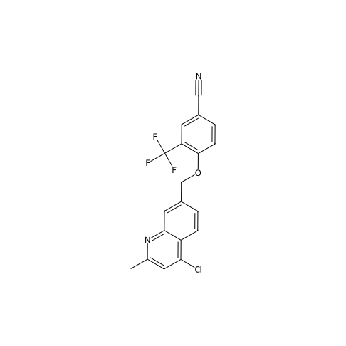 Cc1cc(Cl)c2ccc(COc3ccc(C#N)cc3C(F)(F)F)cc2n1